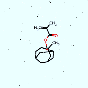 C=C(C)C(=O)OC1(C)C2CCC3CC(C2)CC1C3